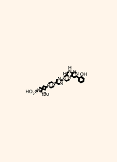 CC(C)(C)[C@@H]1N(C(=O)O)CC12CC(N1CCN(c3cnc(N4CCN5c6cc(-c7ccccc7O)nnc6NC[C@H]5C4)nc3)CC1)C2